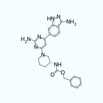 Nc1nc(-c2ccc3c(N)n[nH]c3c2)cc(N2CCC[C@@H](NC(=O)OCc3ccccc3)C2)n1